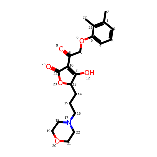 Cc1cccc(OCC(=O)C2=C(O)C(CCCN3CCOCC3)OC2=O)c1C